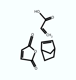 C1=CC2CCC1C2.C=CC(=O)O.O=C1C=CC(=O)O1